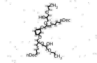 C=CCOCC(O)COC(COc1cccc(OCC(CSCCCCCCCCCCCCC)OCC(O)COCC=C)c1)CSCCCCCCCCCCCC